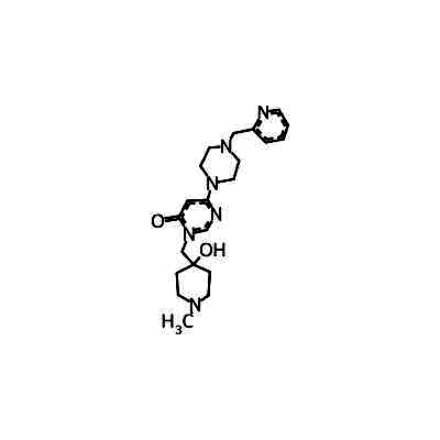 CN1CCC(O)(Cn2cnc(N3CCN(Cc4ccccn4)CC3)cc2=O)CC1